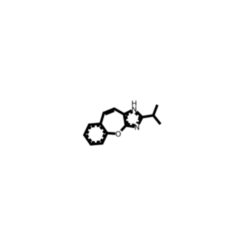 CC(C)c1nc2c([nH]1)C=Cc1ccccc1O2